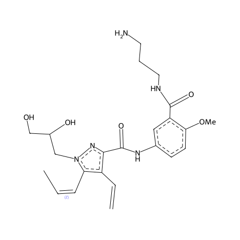 C=Cc1c(C(=O)Nc2ccc(OC)c(C(=O)NCCCN)c2)nn(CC(O)CO)c1/C=C\C